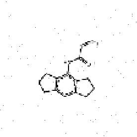 C=NC(=O)Nc1c2c(cc3c1CCC3)CCC2